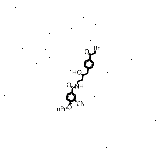 CCCOc1ccc(C(=O)NCCC(O)Cc2ccc(C(=O)CBr)cc2)cc1C#N